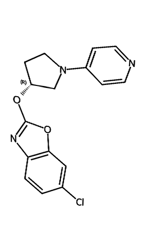 Clc1ccc2nc(O[C@@H]3CCN(c4ccncc4)C3)oc2c1